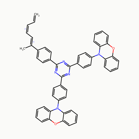 C=C/C=C\C=C(/C)c1ccc(-c2nc(-c3ccc(N4c5ccccc5Oc5ccccc54)cc3)nc(-c3ccc(N4c5ccccc5Oc5ccccc54)cc3)n2)cc1